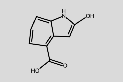 O=C(O)c1cccc2[nH]c(O)cc12